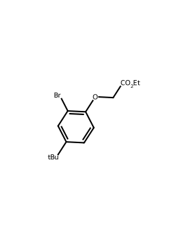 CCOC(=O)COc1ccc(C(C)(C)C)cc1Br